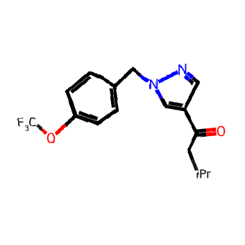 CC(C)CC(=O)c1cnn(Cc2ccc(OC(F)(F)F)cc2)c1